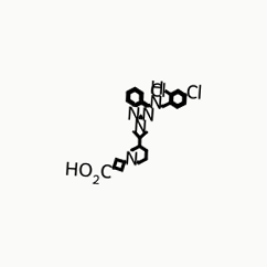 O=C(O)C1CC(N2CCCC(C3CN(c4nc(NCc5ccc(Cl)cc5Cl)c5ccccc5n4)C3)C2)C1